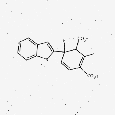 CC1=C(C(=O)O)C=CC(F)(c2cc3ccccc3s2)C1C(=O)O